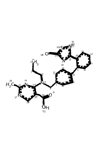 CCCN(Cc1ccc(-c2ccccc2-c2nc(=O)s[nH]2)cc1)c1nc(C)ncc1C(=O)O